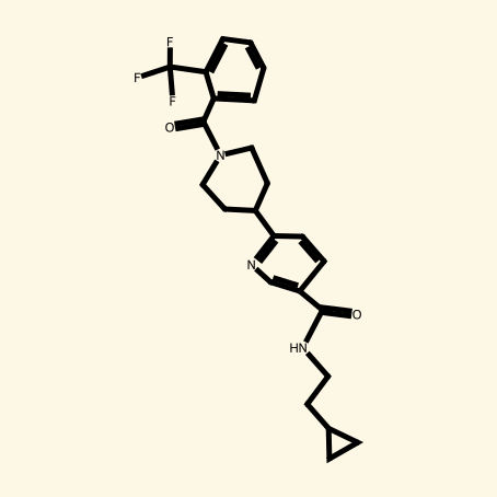 O=C(NCCC1CC1)c1ccc(C2CCN(C(=O)c3ccccc3C(F)(F)F)CC2)nc1